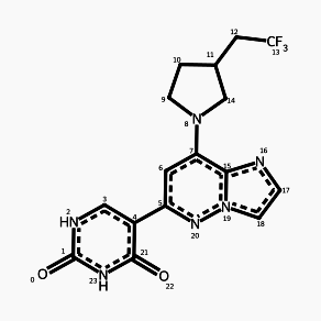 O=c1[nH]cc(-c2cc(N3CCC(CC(F)(F)F)C3)c3nccn3n2)c(=O)[nH]1